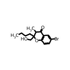 CCCCC1(CO)Oc2ccc(Br)cc2C(=O)C1C